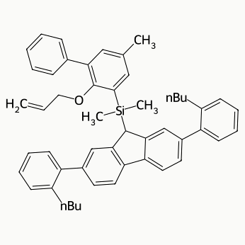 C=CCOc1c(-c2ccccc2)cc(C)cc1[Si](C)(C)C1c2cc(-c3ccccc3CCCC)ccc2-c2ccc(-c3ccccc3CCCC)cc21